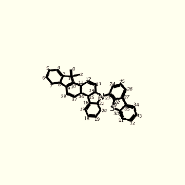 CC1(C)C2=CCCCC2C2=C1C1C=CC3C(C4=CC=CCC4N3c3cccc4c3sc3ccccc34)C1C=C2